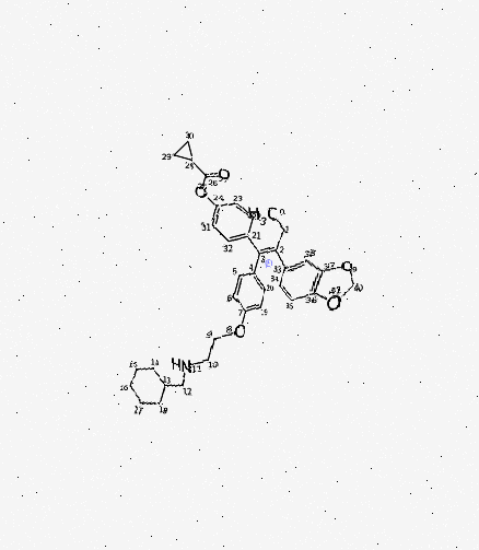 CC/C(=C(/c1ccc(OCCNCC2CCCCC2)cc1)c1ccc(OC(=O)C2CC2)cc1)c1ccc2c(c1)OCO2